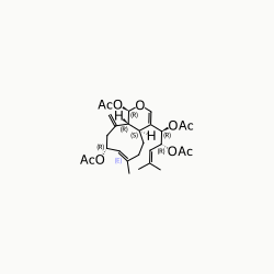 C=C1C[C@@H](OC(C)=O)/C=C(\C)CC[C@@H]2C([C@@H](OC(C)=O)[C@@H](C=C(C)C)OC(C)=O)=CO[C@H](OC(C)=O)[C@@H]12